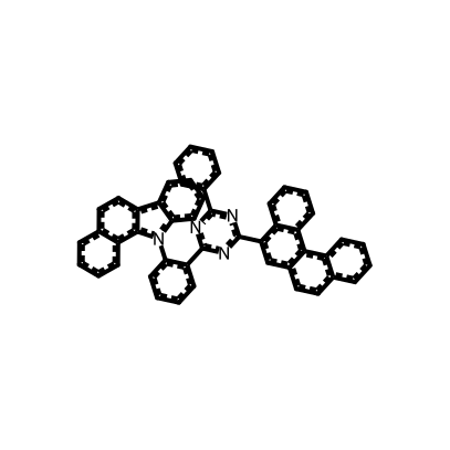 c1ccc(-c2nc(-c3ccccc3-n3c4ccccc4c4ccc5ccccc5c43)nc(-c3cc4ccc5ccccc5c4c4ccccc34)n2)cc1